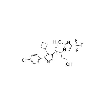 Cc1nc(C(F)(F)F)cn1C(CCO)Nc1cnn(-c2ccc(Cl)cc2)c1C1CCC1